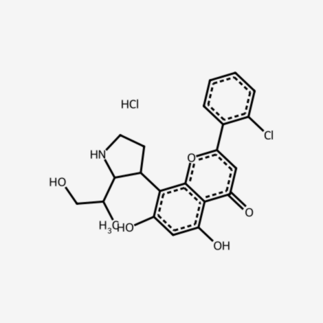 CC(CO)C1NCCC1c1c(O)cc(O)c2c(=O)cc(-c3ccccc3Cl)oc12.Cl